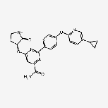 NC(=O)c1cc(O[C@H]2CCNC2=O)nc(-c2ccc(Oc3ccc(C4CC4)cn3)cc2)n1